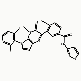 Cc1ccc(C(=O)Nc2ccon2)cc1-c1nc2cnn(-c3c(F)cccc3F)c2n(C)c1=O